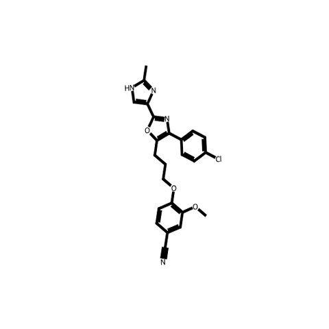 COc1cc(C#N)ccc1OCCCc1oc(-c2c[nH]c(C)n2)nc1-c1ccc(Cl)cc1